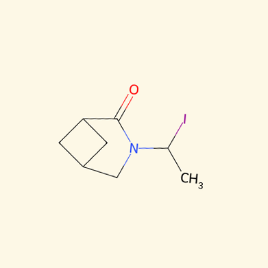 CC(I)N1CC2CC(C2)C1=O